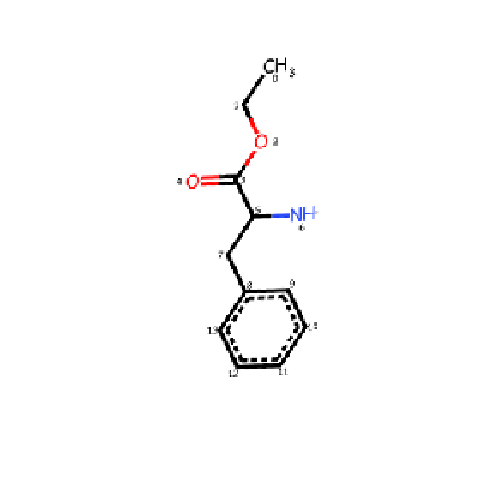 CCOC(=O)C([NH])Cc1ccccc1